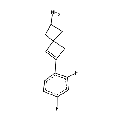 NC1CC2(C=C(c3ccc(F)cc3F)C2)C1